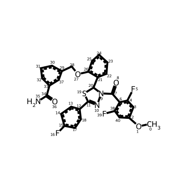 COc1cc(F)c(C(=O)N2N=C(c3ccc(F)cc3)SC2c2ccccc2OCc2cccc(C(N)=O)c2)c(F)c1